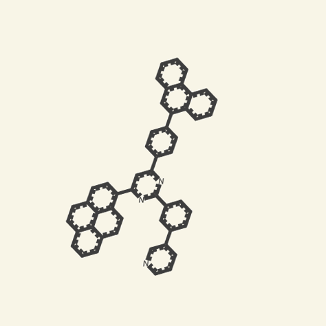 c1cncc(-c2cccc(-c3nc(-c4ccc(-c5cc6ccccc6c6ccccc56)cc4)cc(-c4ccc5ccc6cccc7ccc4c5c67)n3)c2)c1